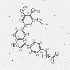 COc1cc(-c2cnc3[nH]cc(-c4ccc(CNC(C)=O)cc4)c3c2)cc(OC)c1OC